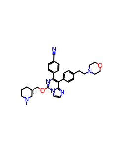 CN1CCC[C@@H](COc2nc(-c3ccc(C#N)cc3)c(-c3ccc(CCN4CCOCC4)cc3)c3nccn23)C1